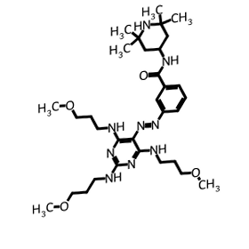 COCCCNc1nc(NCCCOC)c(N=Nc2cccc(C(=O)NC3CC(C)(C)NC(C)(C)C3)c2)c(NCCCOC)n1